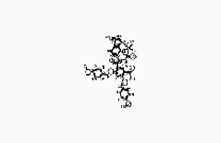 COc1ccc(COc2cc(OCc3ccc(OC)cc3)c(C(C)C)cc2C(=S)N(CC(=O)OC(C)(C)C)c2ccc3c(ccn3C)c2)cc1